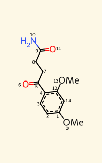 COc1ccc(C(=O)CCC(N)=O)c(OC)c1